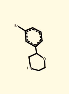 Brc1cccc(C2CNCCO2)c1